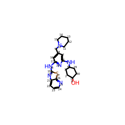 OC1CCC(Nc2cc(CN3CCCCC3)cc(Nc3nc4cccnc4s3)n2)CC1